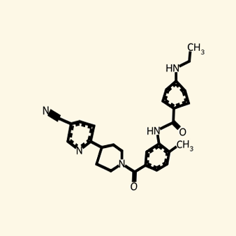 CCNc1ccc(C(=O)Nc2cc(C(=O)N3CCC(c4ccc(C#N)cn4)CC3)ccc2C)cc1